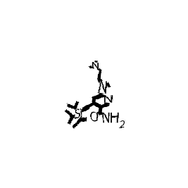 CC(C)[Si](C#Cc1cc(N(C)CCN(C)C)ncc1C(N)=O)(C(C)C)C(C)C